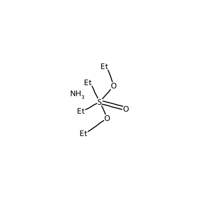 CCOS(=O)(CC)(CC)OCC.N